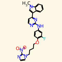 Cn1cc(-c2ccnc(Nc3ccc(OCCCCn4ccnc4[N+](=O)[O-])c(F)c3)n2)c2ccccc21